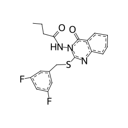 CCCC(=O)Nn1c(SCc2cc(F)cc(F)c2)nc2ccccc2c1=O